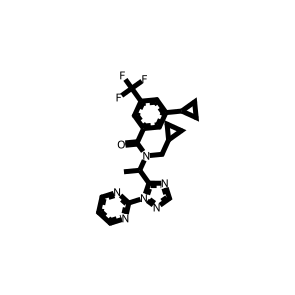 CC(c1ncnn1-c1ncccn1)N(CC1CC1)C(=O)c1cc(C2CC2)cc(C(F)(F)F)c1